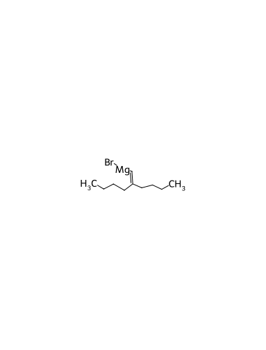 CCCCC(=[CH][Mg][Br])CCCC